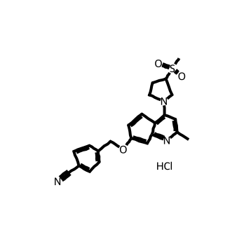 Cc1cc(N2CCC(S(C)(=O)=O)C2)c2ccc(OCc3ccc(C#N)cc3)cc2n1.Cl